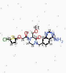 CCOCC1C(=O)N(Cc2ccc3c(N)ncnc3c2)CCN1C(=O)COc1ccc(Cl)s1